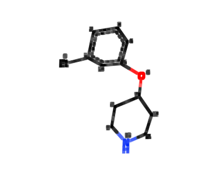 CCc1cccc(OC2CCNCC2)c1